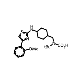 COc1ccccc1-c1csc(NC2CCC(CN(C(=O)O)C(C)(C)C)CC2)n1